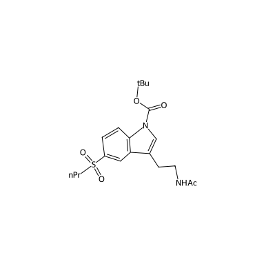 CCCS(=O)(=O)c1ccc2c(c1)c(CCNC(C)=O)cn2C(=O)OC(C)(C)C